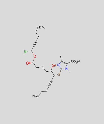 CCCCCCCCCCCCC#CC(Br)OC(=O)CCCC(O)C(C#CCCCCCCCCCCCC)Sc1nc(C)c(C(=O)O)n1C